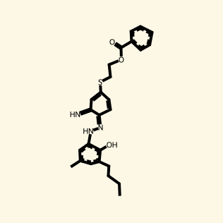 CCCCc1cc(C)cc(N/N=C2/C=CC(SCCOC(=O)c3ccccc3)=CC2=N)c1O